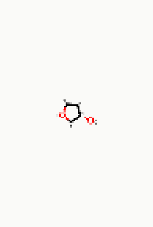 [O][C@H]1CCOC1